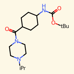 CC(C)N1CCN(C(=O)C2CCC(NC(=O)OC(C)(C)C)CC2)CC1